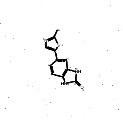 Cc1ncc(-c2ccc3[nH]c(=O)[nH]c3c2)s1